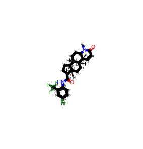 CN1C(=O)C=C[C@@]2(C)C1CC[C@@H]1[C@H]2CC[C@]2(C)C(C(=O)Nc3ccc(Br)cc3C(F)(F)F)CC[C@@H]12